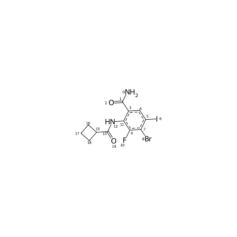 NC(=O)c1cc(I)c(Br)c(F)c1NC(=O)C1CCC1